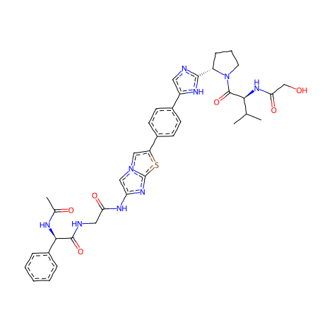 CC(=O)N[C@@H](C(=O)NCC(=O)Nc1cn2cc(-c3ccc(-c4cnc([C@@H]5CCCN5C(=O)[C@@H](NC(=O)CO)C(C)C)[nH]4)cc3)sc2n1)c1ccccc1